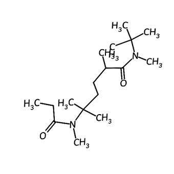 CCC(=O)N(C)C(C)(C)CCC(C)C(=O)N(C)C(C)(C)C